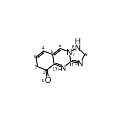 O=C1CC=CC2=CN3NCN=C3N=C12